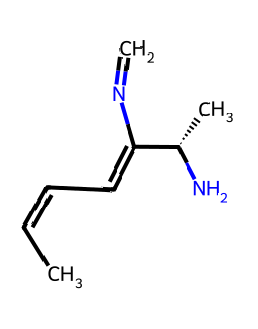 C=N/C(=C\C=C/C)[C@H](C)N